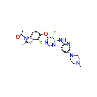 CC(=O)n1c(C)cc2c(F)c(OC3N=CN=C(Nc4ccc(N5CCN(C)CC5)cn4)[C@H]3F)ccc21